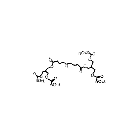 CCCCCCCCC(=O)OCC(COC(=O)CCCCCCCC)COC(=O)CCCNCCCC(=O)OCC(COC(=O)CCCCCCCC)COC(=O)CCCCCCCC